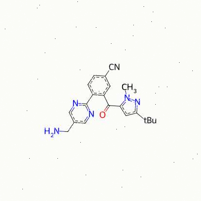 Cn1nc(C(C)(C)C)cc1C(=O)c1cc(C#N)ccc1-c1ncc(CN)cn1